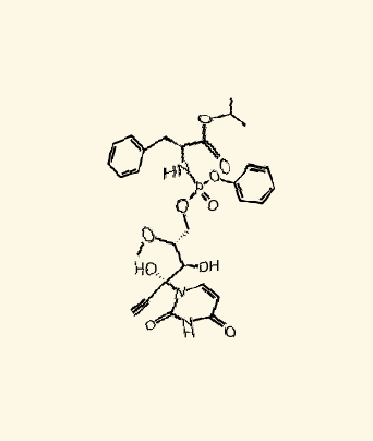 C#C[C@@](O)([C@H](O)[C@@H](COP(=O)(N[C@@H](Cc1ccccc1)C(=O)OC(C)C)Oc1ccccc1)OC)n1ccc(=O)[nH]c1=O